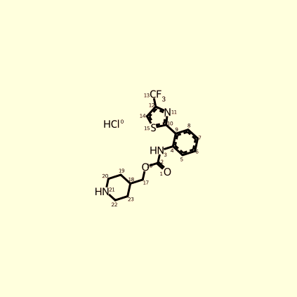 Cl.O=C(Nc1ccccc1-c1nc(C(F)(F)F)cs1)OCC1CCNCC1